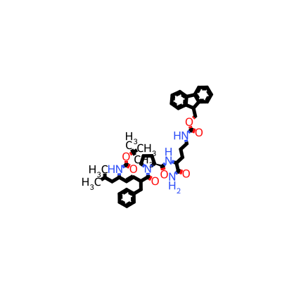 CC(C)CC(/C=C/C(Cc1ccccc1)C(=O)N1CCC[C@H]1C(=O)NC(CCCNC(=O)OCC1c2ccccc2-c2ccccc21)C(N)=O)NC(=O)OC(C)(C)C